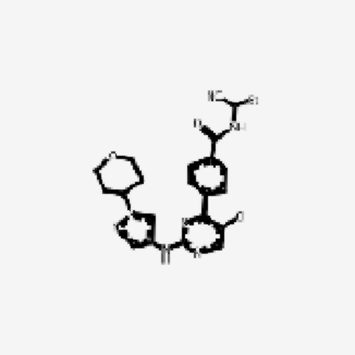 CCC(C#N)NC(=O)c1ccc(-c2nc(Nc3cnn(C4CCOCC4)c3)ncc2Cl)cc1